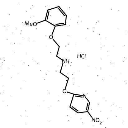 COc1ccccc1OCCNCCOc1ccc([N+](=O)[O-])cn1.Cl